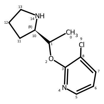 CC(Oc1ncccc1Cl)[C@H]1CCCN1